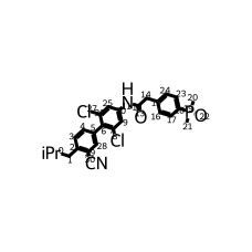 CC(C)Cc1ccc(-c2c(Cl)cc(NC(=O)Cc3ccc(P(C)(C)=O)cc3)cc2Cl)cc1C#N